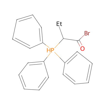 CCC(C(=O)Br)[PH](c1ccccc1)(c1ccccc1)c1ccccc1